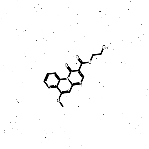 COc1cc2ncc(C(=O)OCCO)c(=O)n2c2ccccc12